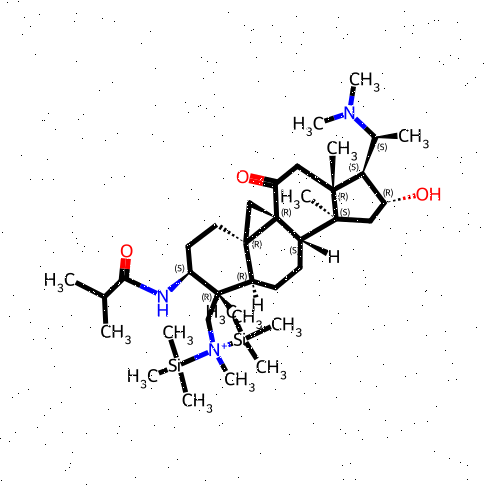 CC(C)C(=O)N[C@H]1CC[C@]23C[C@]24C(=O)C[C@]2(C)[C@@H]([C@H](C)N(C)C)[C@H](O)C[C@@]2(C)[C@@H]4CC[C@H]3[C@]1(C)C[N+](C)([Si](C)(C)C)[Si](C)(C)C